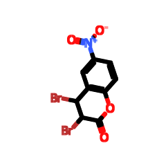 O=C1Oc2ccc([N+](=O)[O-])cc2C(Br)C1Br